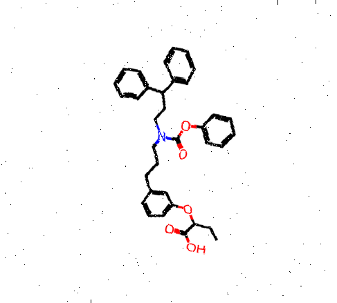 CCC(Oc1cccc(CCCN(CCC(c2ccccc2)c2ccccc2)C(=O)Oc2ccccc2)c1)C(=O)O